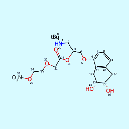 CC(C)(C)NCC(COc1cccc2c1C[C@@H](O)[C@@H](O)C2)OC(=O)COCCO[N+](=O)[O-]